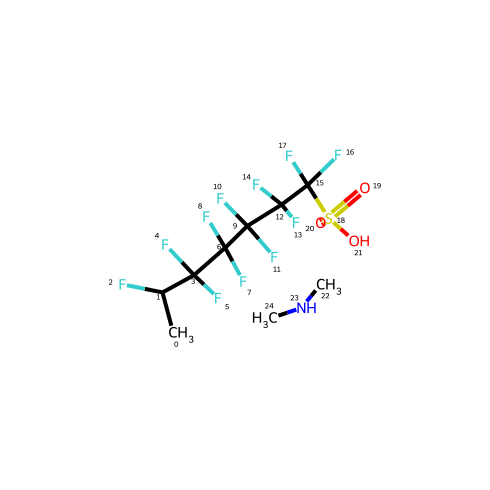 CC(F)C(F)(F)C(F)(F)C(F)(F)C(F)(F)C(F)(F)S(=O)(=O)O.CNC